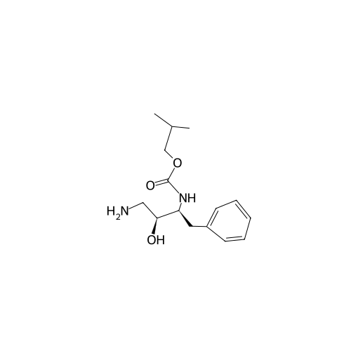 CC(C)COC(=O)N[C@@H](Cc1ccccc1)[C@@H](O)CN